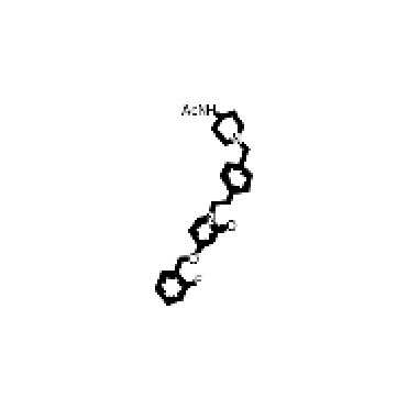 CC(=O)NC1CCN(Cc2ccc(CCn3ccc(OCc4ccccc4F)cc3=O)cc2)CC1